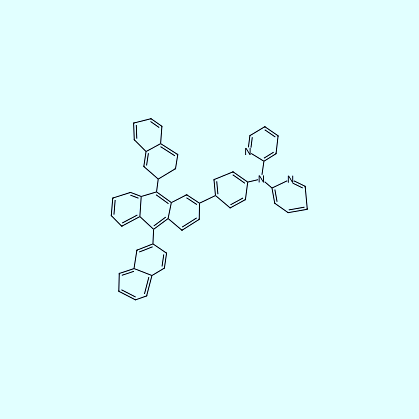 C1=c2ccccc2=CC(c2c3ccccc3c(-c3ccc4ccccc4c3)c3ccc(-c4ccc(N(c5ccccn5)c5ccccn5)cc4)cc23)C1